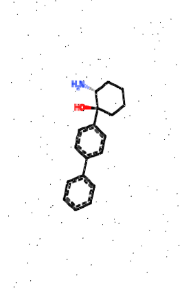 N[C@@H]1CCCC[C@]1(O)c1ccc(-c2ccccc2)cc1